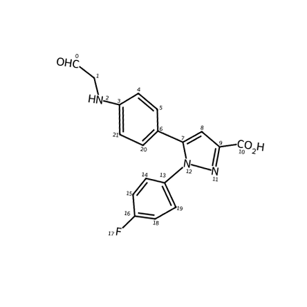 O=CCNc1ccc(-c2cc(C(=O)O)nn2-c2ccc(F)cc2)cc1